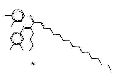 CCCCCCCCCCCCCCC=CC(=Nc1ccc(C)c(C)c1)C(CCCC)=Nc1ccc(C)c(C)c1.[Pd]